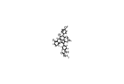 COc1ccc(-n2c(=O)c3c(CN(C)C)c(-c4ccc(NC(N)=O)cc4)cn3n(Cc3c(F)cccc3F)c2=O)nn1